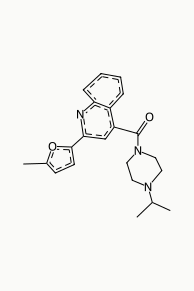 Cc1ccc(-c2cc(C(=O)N3CCN(C(C)C)CC3)c3ccccc3n2)o1